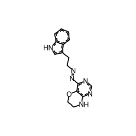 c1ccc2c(CCN=Nc3ncnc4c3OCCN4)c[nH]c2c1